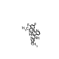 CC(Nc1nc(Nc2cn(C)cn2)c2cccnc2n1)c1ncc(F)cc1F